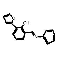 Oc1c(/C=N/c2ccccc2)cccc1-c1ccco1